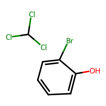 ClC(Cl)Cl.Oc1ccccc1Br